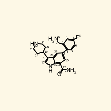 NCc1cc(F)ccc1-c1cc(C(N)=O)c2[nH]cc(C3CCNCC3)c2c1